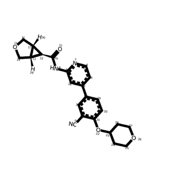 N#Cc1cc(-c2ccnc(NC(=O)[C@H]3[C@@H]4COC[C@@H]43)c2)ccc1OC1CCOCC1